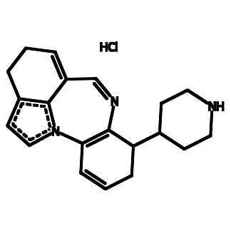 C1=CC2=C(N=CC3=CCCc4ccn2c43)C(C2CCNCC2)C1.Cl